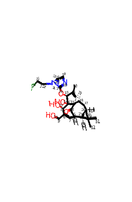 CC1=C[C@]23C(=O)[C@@H](C=C(CO)[C@@H](O)[C@]2(O)[C@H]1Oc1nccn1CCF)[C@H]1[C@@H](C[C@H]3C)C1(C)C